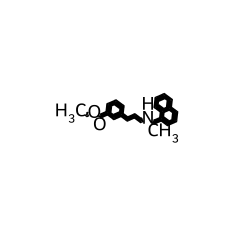 CCOC(=O)c1cccc(CCCN[C@H](C)c2cccc3ccccc23)c1